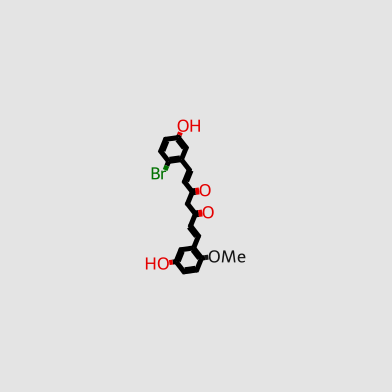 COc1ccc(O)cc1/C=C/C(=O)CC(=O)/C=C/c1cc(O)ccc1Br